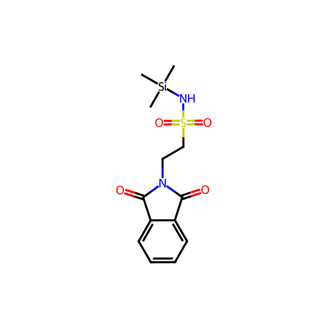 C[Si](C)(C)NS(=O)(=O)CCN1C(=O)c2ccccc2C1=O